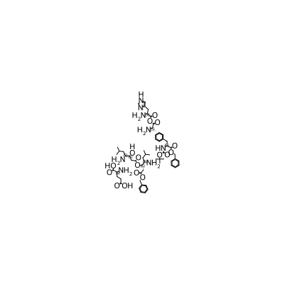 CC(C)(C)OC(=O)N[C@@H](Cc1ccccc1)C(=O)OCc1ccccc1.CC(C)C[C@H](N)[C@H](CC(=O)OCc1ccccc1)OC(=O)C[C@H](O)[C@@H](N)CC(C)C.C[C@H](N)C(=O)OC(=O)[C@@H](N)Cc1c[nH]cn1.N[C@@H](CCC(=O)O)C(=O)O